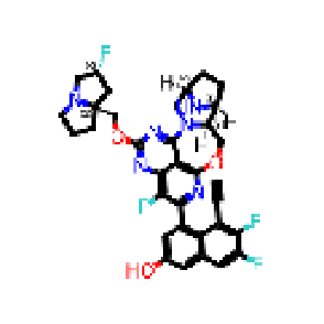 C#Cc1c(F)c(F)cc2cc(O)cc(-c3nc4c5c(nc(OC[C@@]67CCCN6C[C@H](F)C7)nc5c3F)N3C[C@H]5CC[C@H](N5)[C@H]3CO4)c12